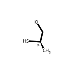 C[C@@H](S)CO